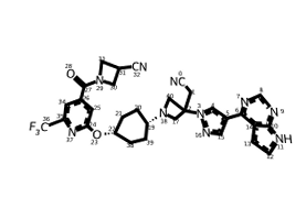 N#CCC1(n2cc(-c3ncnc4[nH]ccc34)cn2)CN([C@H]2CC[C@@H](Oc3cc(C(=O)N4CC(C#N)C4)cc(C(F)(F)F)n3)CC2)C1